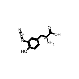 [N-]=[N+]=Nc1cc(C[C@H](N)C(=O)O)ccc1O